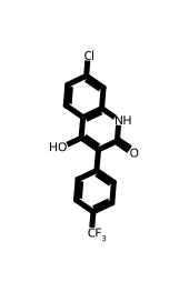 O=c1[nH]c2cc(Cl)ccc2c(O)c1-c1ccc(C(F)(F)F)cc1